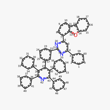 c1ccc(-c2cc(-c3cccc4c3oc3ccccc34)nc(-c3cccc(-c4c(-c5ccccc5)c(-c5ccccc5)nc(-c5ccccc5)c4-c4ccccc4)c3)n2)cc1